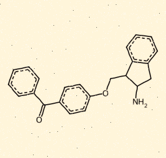 NC1Cc2ccccc2C1COc1ccc(C(=O)c2ccccc2)cc1